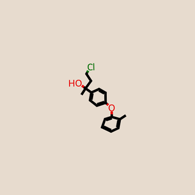 Cc1ccccc1Oc1ccc(C(C)(O)CCCl)cc1